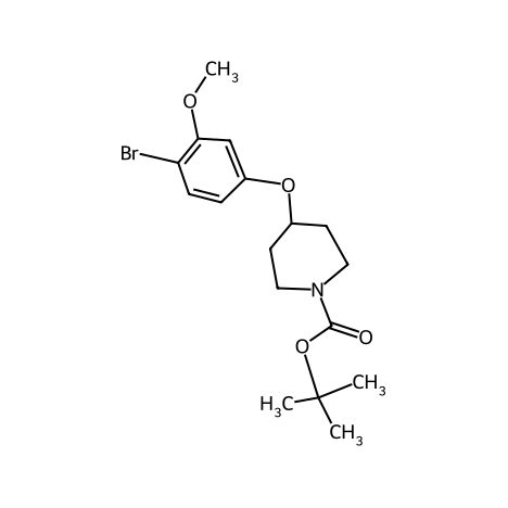 COc1cc(OC2CCN(C(=O)OC(C)(C)C)CC2)ccc1Br